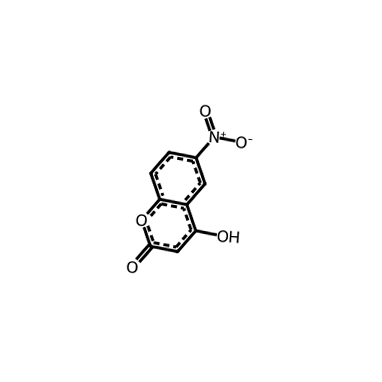 O=c1cc(O)c2cc([N+](=O)[O-])ccc2o1